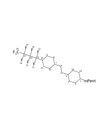 CCCCCC1CCC(CCC2CCC(C(F)(F)C(F)(F)C(F)(F)C(F)(F)F)CC2)CC1